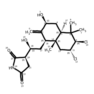 C=C1[C@@H](O)C[C@H]2C(C)(C)[C@@H](Cl)[C@H](Cl)C[C@]2(C)[C@H]1C[C@H](O)[C@H]1CC(=O)NC1=O